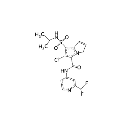 CC(C)NS(=O)(=O)c1c(Cl)c(C(=O)Nc2ccnc(C(F)F)c2)n2c1C=CC2